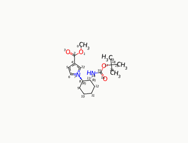 COC(=O)c1ccn([C@@H]2CCCC[C@H]2NC(=O)OC(C)(C)C)c1